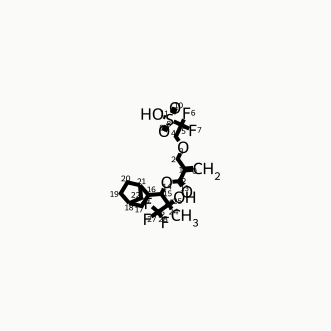 C=C(COCC(F)(F)S(=O)(=O)O)C(=O)OC(C1CC2CCC1C2)C(C)(O)C(F)(F)F